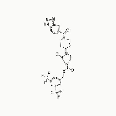 O=C(OCc1cc(C(F)(F)F)cc(C(F)(F)F)c1)N1CCN(C2CCN(C(=O)c3ccc4[nH]nnc4c3)CC2)C(=O)C1